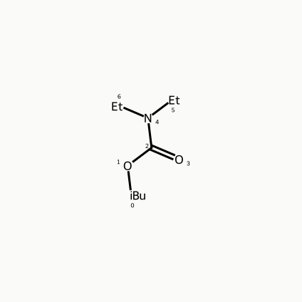 C[CH]C(C)OC(=O)N(CC)CC